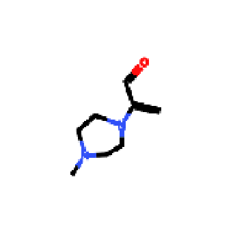 C=C(C=O)N1CCN(C)CC1